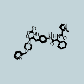 CCC(=O)NC(Cc1ccc(NC(=O)[C@@H](NC(=O)c2ccnn2C)C2CCCCC2)cc1)C(=O)N1CCN(Cc2ccccn2)CC1